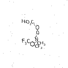 CC(c1cc(C(F)(F)F)ccc1C(F)(F)F)N1CC(COc2cccc(CCC(=O)O)c2)C1